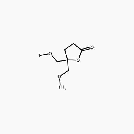 O=C1CCC(COP)(COI)O1